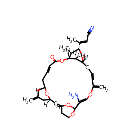 C=C1C[C@@H]2C[C@@H]3CCO[C@@H](O3)/C(N)=C/OC(=C)/C=C/C[C@H]3O[C@@H](/C(C)=C/C#N)[C@H](C)[C@@H](OC(=O)/C=C\C[C@@H](C1)O2)[C@H]3C